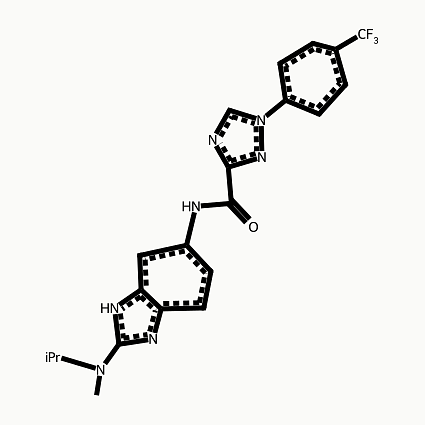 CC(C)N(C)c1nc2ccc(NC(=O)c3ncn(-c4ccc(C(F)(F)F)cc4)n3)cc2[nH]1